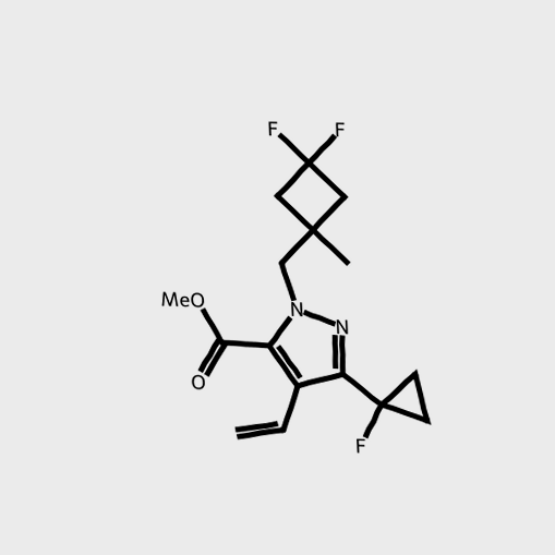 C=Cc1c(C2(F)CC2)nn(CC2(C)CC(F)(F)C2)c1C(=O)OC